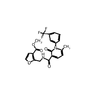 COC(=O)c1ccoc1CNC(=O)c1ccc(C)n(-c2cccc(C(F)(F)F)c2)c1=O